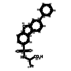 CC(C)C(NS(=O)(=O)c1ccc2oc3cc(-c4ccccc4)ccc3c2c1)C(=O)O